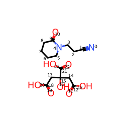 N#CCCN1CCCCC1=O.O=C(O)CC(O)(CC(=O)O)C(=O)O